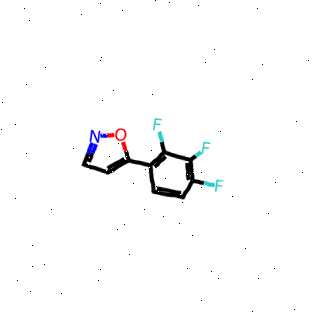 Fc1ccc(-c2ccno2)c(F)c1F